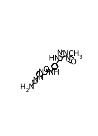 CC1COCCN1c1ncnc2[nH]c(-c3ccc(NC(=O)Cc4nccc(N5CC(N)C5)n4)cc3)cc12